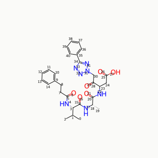 CC(C)[C@H](NC(=O)CCc1ccccc1)C(=O)N[C@@H](C)C(=O)NC(CC(=O)O)C(=O)Cn1nnc(-c2ccccc2)n1